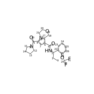 CCC(NC(=O)c1cc(C(=O)N2CCCC2)n2c1COCC2)c1ccccc1OC(F)F